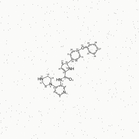 O=C(Nc1cnccc1N1CCNCC1)C1=CSC(c2ccc(Oc3ccccc3)cc2)N1